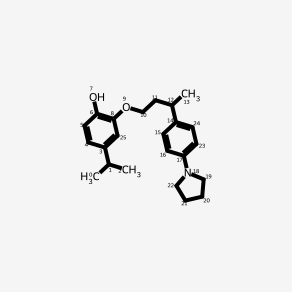 CC(C)c1ccc(O)c(OCCC(C)c2ccc(N3CCCC3)cc2)c1